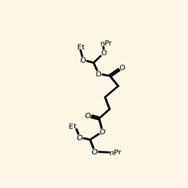 CCCOC(OCC)OC(=O)CCCC(=O)OC(OCC)OCCC